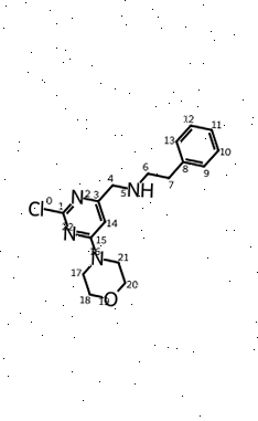 Clc1nc(CNCCc2ccccc2)cc(N2CCOCC2)n1